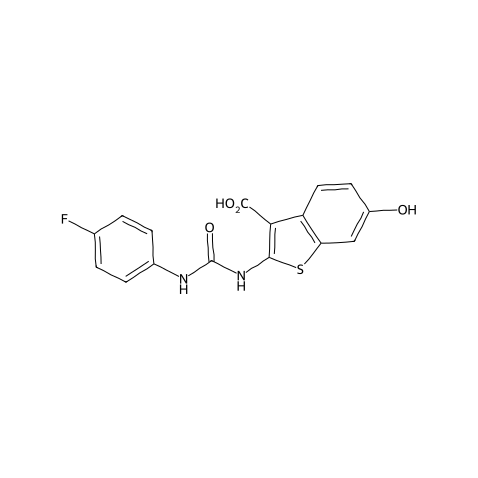 O=C(Nc1ccc(F)cc1)Nc1sc2cc(O)ccc2c1C(=O)O